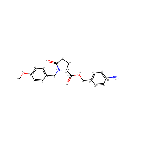 COc1ccc(CN2C(=O)CC[C@H]2C(=O)OCc2ccc(N)cc2)cc1